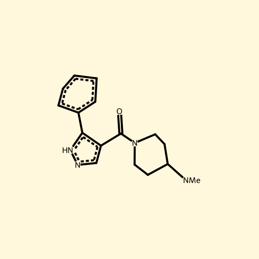 CNC1CCN(C(=O)c2cn[nH]c2-c2ccccc2)CC1